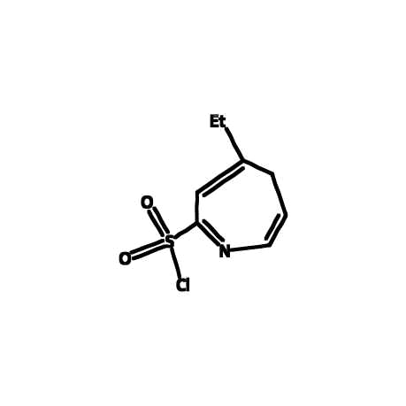 CCC1=CC(S(=O)(=O)Cl)=NC=CC1